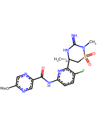 COc1cnc(C(=O)Nc2ccc(F)c([C@]3(C)CS(=O)(=O)N(C)C(=N)N3)n2)cn1